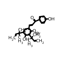 C=CC(C)(C)c1cc(/C=C/C(=O)c2ccc(O)cc2)c(OC(C)C)c(C(C)(C)C=C)c1O